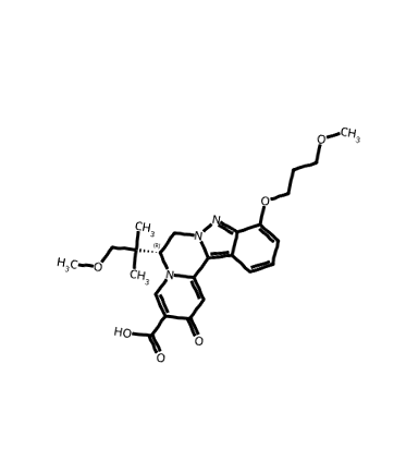 COCCCOc1cccc2c3n(nc12)C[C@@H](C(C)(C)COC)n1cc(C(=O)O)c(=O)cc1-3